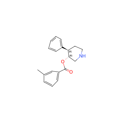 Cc1cccc(C(=O)O[C@H]2CNCC[C@@H]2c2ccccc2)c1